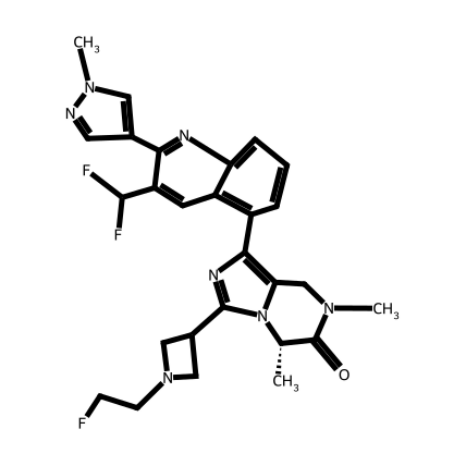 C[C@H]1C(=O)N(C)Cc2c(-c3cccc4nc(-c5cnn(C)c5)c(C(F)F)cc34)nc(C3CN(CCF)C3)n21